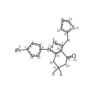 CC(C)c1ccc(-n2nc(Cc3cccs3)c3c2CC(C)(C)CC3=O)cc1